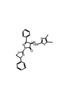 Cc1nc(N/N=C2\C(=O)N(C3=NC(c4ccccc4)CS3)N=C2c2ccccc2)sc1C